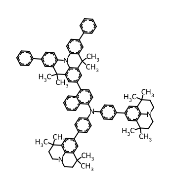 CC1(C)CCN2CCC(C)(C)c3cc(-c4ccc(N(c5ccc(-c6cc7c8c(c6)C(C)(C)CCN8CCC7(C)C)cc5)c5ccc(-c6cc7c8c(c6)C(C)(C)c6cc(-c9ccccc9)ccc6N8c6ccc(-c8ccccc8)cc6C7(C)C)c6ccccc56)cc4)cc1c32